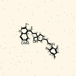 COc1ccc2ncc(F)c([C@H](F)CCC3(CO)CCN(CCNc4c(F)cc(F)cc4F)CC3)c2c1